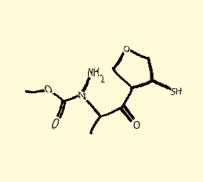 COC(=O)N(N)C(C)C(=O)C1COCC1S